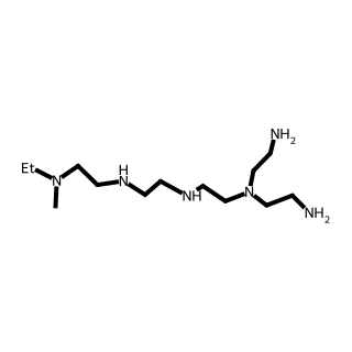 CCN(C)CCNCCNCCN(CCN)CCN